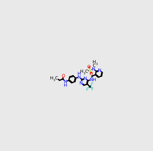 CCC(=O)Nc1ccc(Nc2ncc(C(F)(F)F)c(NCc3cccnc3N(C)S(C)(=O)=O)n2)cc1